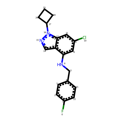 Fc1ccc(CNc2cc(Cl)cc3c2cnn3C2CCC2)cc1